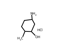 CC1CCC(N)CC1O.Cl